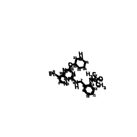 CC(C)c1cnn2c(NCc3ccccc3N=S(C)(C)=O)nc(O[C@@H]3CCCNC3)nc12